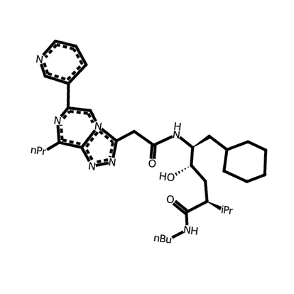 CCCCNC(=O)[C@@H](C[C@H](O)[C@H](CC1CCCCC1)NC(=O)Cc1nnc2c(CCC)nc(-c3cccnc3)cn12)C(C)C